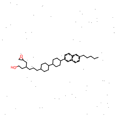 CCCCCc1ccc2cc(C3CCC(C4CCC(CCCC(CCO)CC5CO5)CC4)CC3)ccc2c1